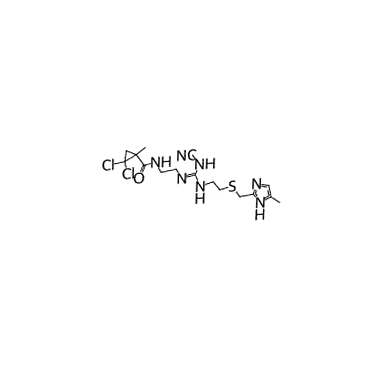 Cc1cnc(CSCCNC(=NCCNC(=O)C2(C)CC2(Cl)Cl)NC#N)[nH]1